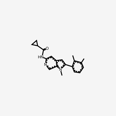 Cc1cccc(-c2cc3cc(NC(=O)C4CC4)ncc3n2C)c1C